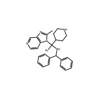 CC(=O)C(NC(c1ccccc1)c1ccccc1)(C1CCNCC1)n1c(C)nc2cnccc21